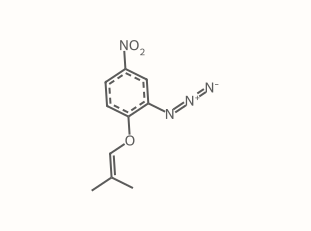 CC(C)=COc1ccc([N+](=O)[O-])cc1N=[N+]=[N-]